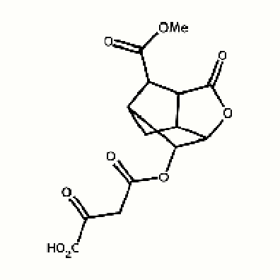 COC(=O)C1C2CC3C(OC(=O)C31)C2OC(=O)CC(=O)C(=O)O